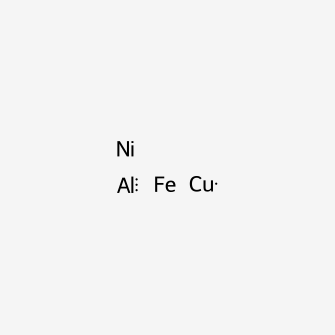 [Al].[Cu].[Fe].[Ni]